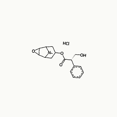 CN1C2CC(OC(=O)[C@H](CO)c3ccccc3)CC1C1OC12.Cl